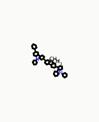 C[Si]1(C)c2cc(-c3ccc4c5cc(-c6ccccc6)ccc5n(-c5ccccc5)c4c3)ccc2-c2ccc(-c3cccc4c3c3ccccc3n4-c3ccccc3)cc21